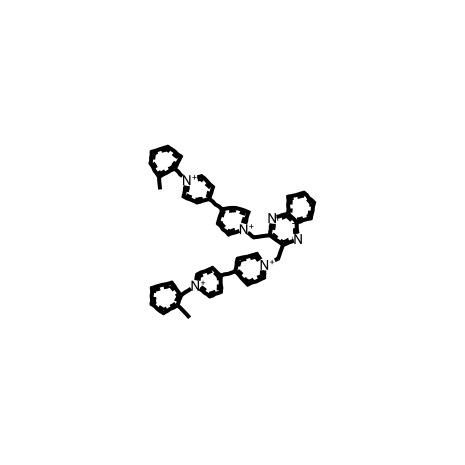 Cc1ccccc1-[n+]1ccc(-c2cc[n+](Cc3nc4ccccc4nc3C[n+]3ccc(-c4cc[n+](-c5ccccc5C)cc4)cc3)cc2)cc1